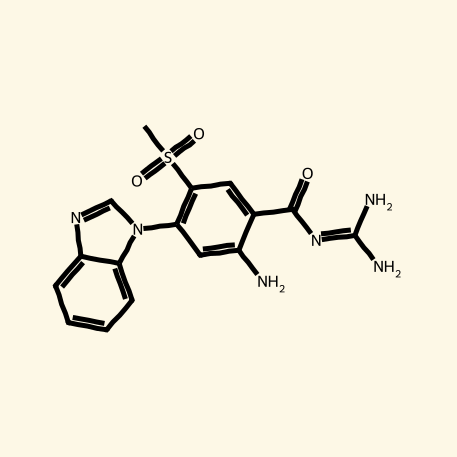 CS(=O)(=O)c1cc(C(=O)N=C(N)N)c(N)cc1-n1cnc2ccccc21